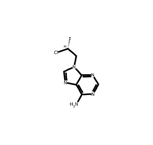 C[C@@H](Cl)Cn1cnc2c(N)ncnc21